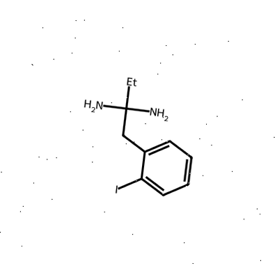 CCC(N)(N)Cc1ccccc1I